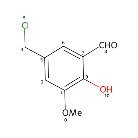 COc1cc(CCl)cc(C=O)c1O